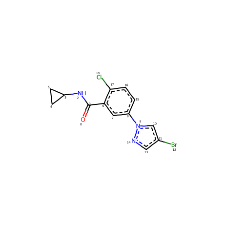 O=C(NC1CC1)c1cc(-n2cc(Br)cn2)ccc1Cl